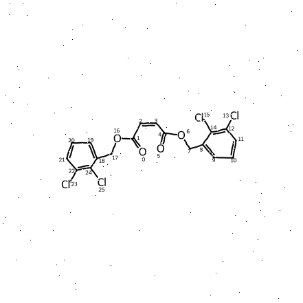 O=C(/C=C\C(=O)OCc1cccc(Cl)c1Cl)OCc1cccc(Cl)c1Cl